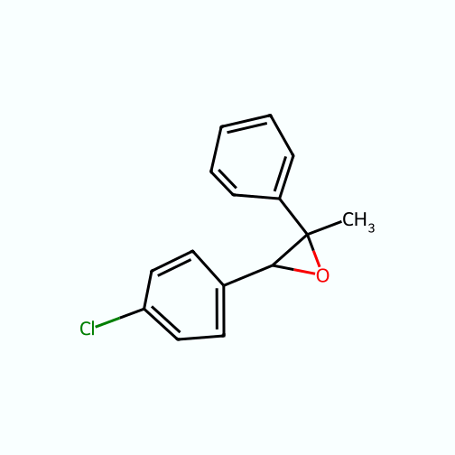 CC1(c2ccccc2)OC1c1ccc(Cl)cc1